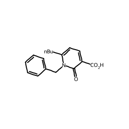 CCCCc1ccc(C(=O)O)c(=O)n1Cc1ccccc1